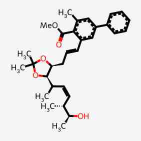 COC(=O)c1c(C)cc(-c2ccccc2)cc1/C=C/C[C@@H]1OC(C)(C)O[C@@H]1C(C)/C=C\[C@@H](C)[C@H](C)O